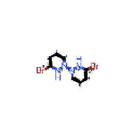 BrC1=CC=CN(N2C=CC=C(Br)N2)N1